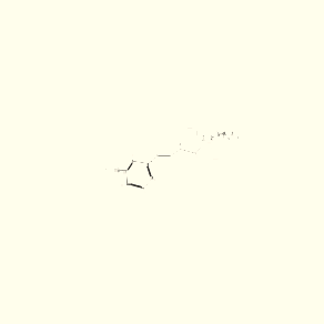 CC[Si](CC)(CCCCc1cccc(C(F)(F)F)c1)OC